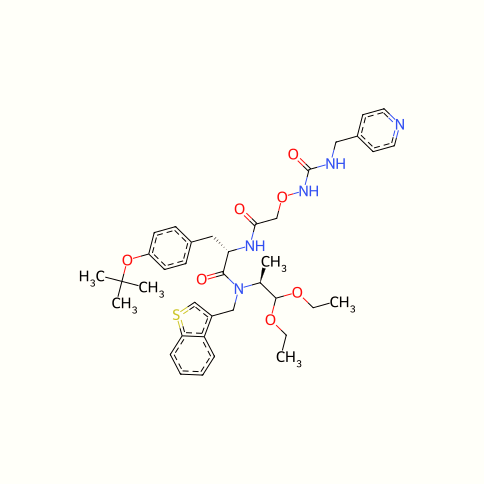 CCOC(OCC)[C@H](C)N(Cc1csc2ccccc12)C(=O)[C@H](Cc1ccc(OC(C)(C)C)cc1)NC(=O)CONC(=O)NCc1ccncc1